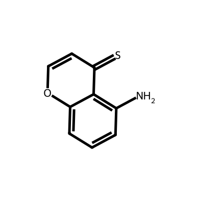 Nc1cccc2occc(=S)c12